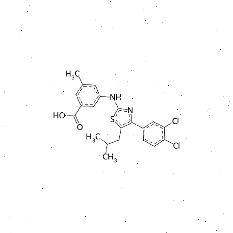 Cc1cc(Nc2nc(-c3ccc(Cl)c(Cl)c3)c(CC(C)C)s2)cc(C(=O)O)c1